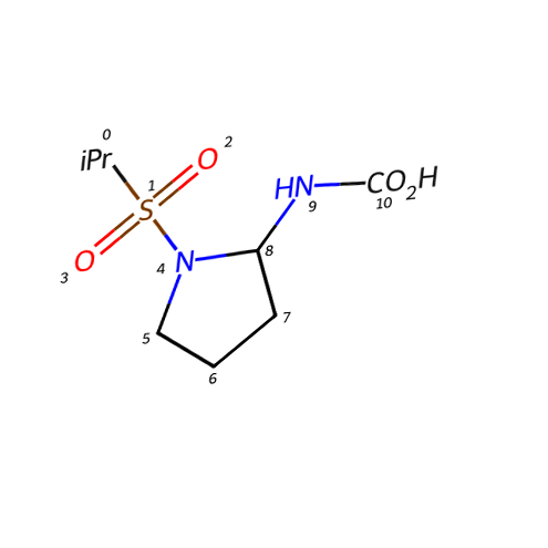 CC(C)S(=O)(=O)N1CCCC1NC(=O)O